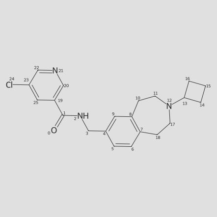 O=C(NCc1ccc2c(c1)CCN(C1CCC1)CC2)c1cncc(Cl)c1